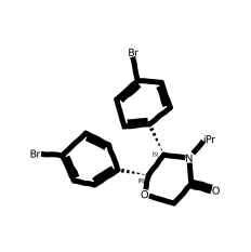 CC(C)N1C(=O)CO[C@H](c2ccc(Br)cc2)[C@@H]1c1ccc(Br)cc1